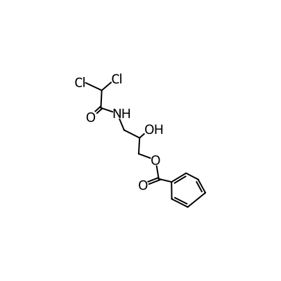 O=C(OCC(O)CNC(=O)C(Cl)Cl)c1ccccc1